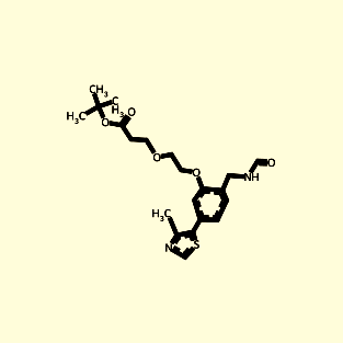 Cc1ncsc1-c1ccc(CNC=O)c(OCCOCCC(=O)OC(C)(C)C)c1